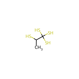 CC(S)C(S)(S)S